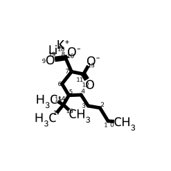 CCCCCC(CC(C(=O)[O-])C(=O)[O-])C(C)(C)C.[K+].[Li+]